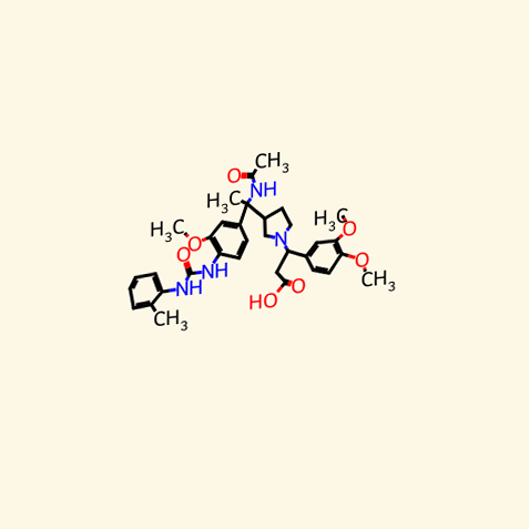 COc1cc(C(C)(NC(C)=O)C2CCN(C(CC(=O)O)c3ccc(OC)c(OC)c3)C2)ccc1NC(=O)Nc1ccccc1C